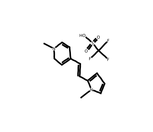 CN1C=CC(C=Cc2cccn2C)=CC1.O=S(=O)(O)C(F)(F)F